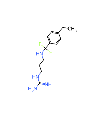 CCc1ccc(C(F)(F)NCCCNC(=N)N)cc1